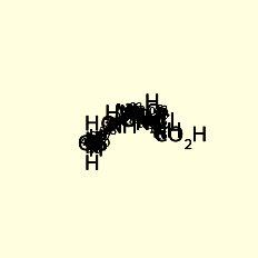 COc1cccc(Cl)c1C(=O)NC(CCCNC(=O)O)c1ncc(-c2cccc(NC(=O)CCCNC(=O)CCCC[C@@H]3SC[C@@H]4NC(=O)N[C@@H]43)c2)o1